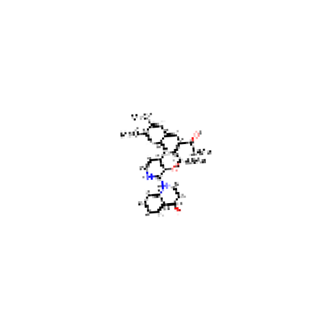 COC(=O)c1cc2cc(OC)c(OC)cc2c(-c2ccnc(-n3ccc(=O)c4ccccc43)c2)c1C(=O)OC